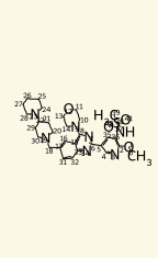 COc1ncc(-c2nc(N3CCOCC3)c3cc(CN4CCC(N5CCCCC5)CC4)ccc3n2)cc1NS(C)(=O)=O